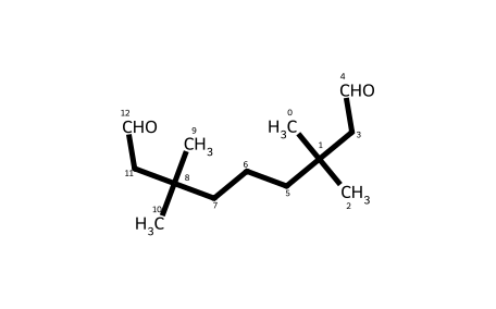 CC(C)(CC=O)CCCC(C)(C)CC=O